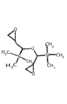 C[Si](C)(C)C(OC(C1CO1)[Si](C)(C)C)C1CO1